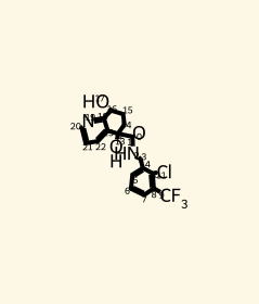 O=C(NCc1cccc(C(F)(F)F)c1Cl)C1(O)CCC(O)c2ncccc21